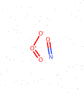 O=[O+][O-].[N]=O